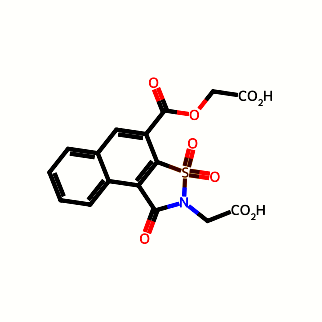 O=C(O)COC(=O)c1cc2ccccc2c2c1S(=O)(=O)N(CC(=O)O)C2=O